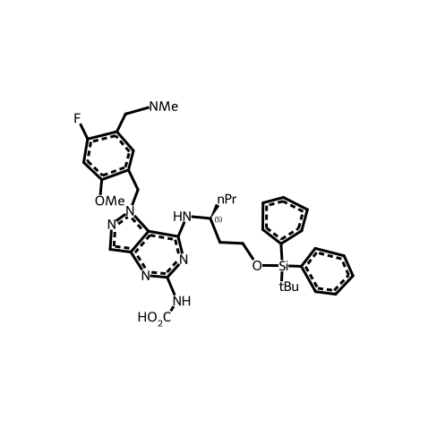 CCC[C@@H](CCO[Si](c1ccccc1)(c1ccccc1)C(C)(C)C)Nc1nc(NC(=O)O)nc2cnn(Cc3cc(CNC)c(F)cc3OC)c12